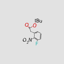 CC(C)(C)OC(=O)Cc1cccc(F)c1[N+](=O)[O-]